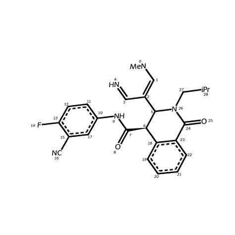 CN/C=C(\C=N)C1[C@H](C(=O)Nc2ccc(F)c(C#N)c2)c2ccccc2C(=O)N1CC(C)C